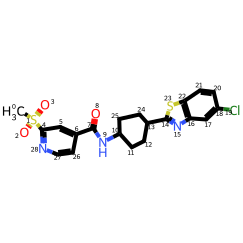 CS(=O)(=O)c1cc(C(=O)NC2CCC(c3nc4cc(Cl)ccc4s3)CC2)ccn1